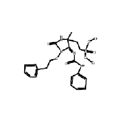 CCOP(=O)(CCC1(C)NC(=O)N(OCCc2ccccc2)C1=NC(=O)Nc1ccccc1)OCC